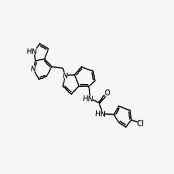 O=C(Nc1ccc(Cl)cc1)Nc1cccc2c1ccn2Cc1ccnc2[nH]ccc12